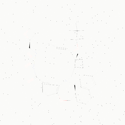 CC(C)(C)[Si](C)(C)OC1/C=C/CCN(C[C@@H]2CCO2)S(=O)(=O)NC(=O)c2ccc3c(c2)N(C[C@@H]2CC[C@@H]12)C[C@@]1(CCCc2cc(Cl)ccc21)CO3